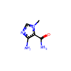 Cn1cnc(N)c1C(N)=O